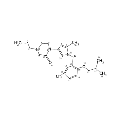 C=CCN1CCN(c2cc(C)n(Cc3cc(Cl)ccc3OCC(C)C)n2)C(=O)C1